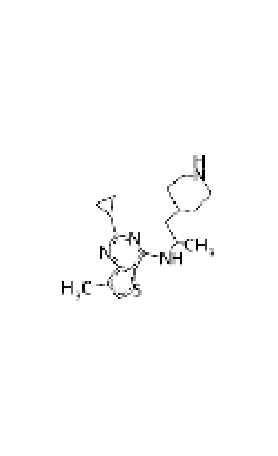 Cc1csc2c(N[C@@H](C)CC3CCNCC3)nc(C3CC3)nc12